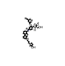 COC(=O)[C@@H](CO)NCc1ccc(/C(F)=C/c2cccc(-c3cccc(OCCCN4CC[C@@H](O)C4)c3C)c2C)cc1OCc1cncc(C#N)c1